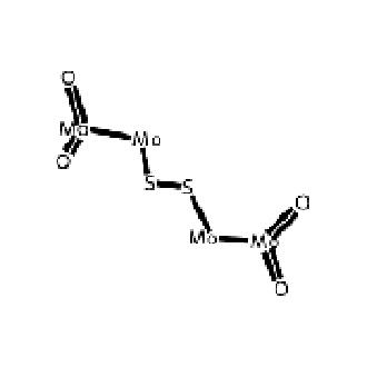 [O]=[Mo](=[O])[Mo][S][S][Mo][Mo](=[O])=[O]